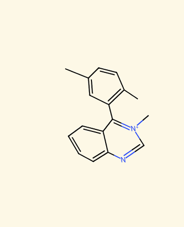 Cc1ccc(C)c(-c2c3ccccc3nc[n+]2C)c1